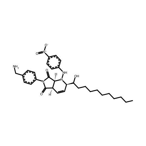 CCCCCCCCCCC(O)[C@H]1C=C[C@H]2C(=O)N(c3ccc(CN)cc3)C(=O)[C@H]2N1Nc1ccc([N+](=O)[O-])cc1